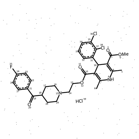 COC(=O)C1=C(C)NC(C)=C(C(=O)OCCN2CCC(C(=O)c3ccc(F)cc3)CC2)C1c1cccc(Cl)c1Cl.Cl